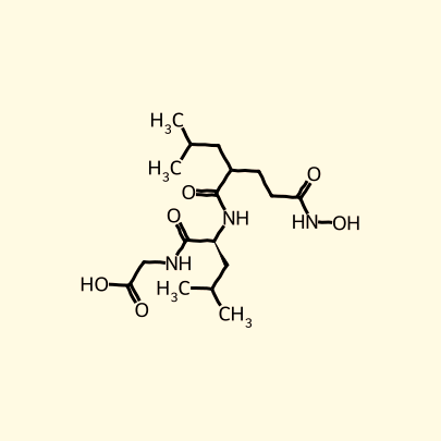 CC(C)CC(CCC(=O)NO)C(=O)N[C@@H](CC(C)C)C(=O)NCC(=O)O